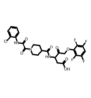 O=C(O)CC(NC(=O)C1CCN(C(=O)C(=O)Nc2ccccc2Cl)CC1)C(=O)COc1c(F)c(F)cc(F)c1F